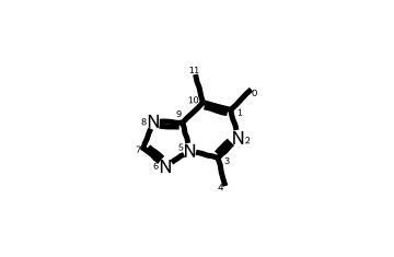 Cc1nc(C)n2ncnc2c1C